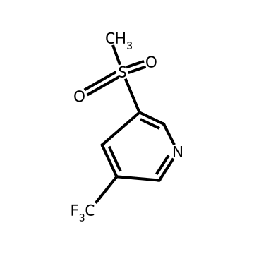 CS(=O)(=O)c1cncc(C(F)(F)F)c1